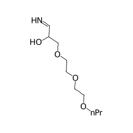 CCCOCCOCCOCC(O)C=N